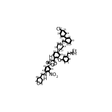 CCNCc1cccc(Oc2cc(N3CCN(Cc4ccccc4-c4ccc(Cl)cc4)CC3)ccc2C(=O)NS(=O)(=O)c2ccc(NCC3CCOCC3)c([N+](=O)[O-])c2)c1